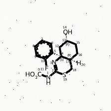 O=C(O)NC1=N[C@@]2(c3ccccc3F)C[C@H](O)CC[C@H]2CS1